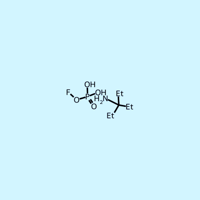 CCC(N)(CC)CC.O=P(O)(O)OF